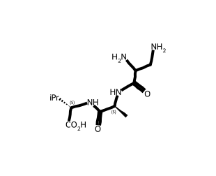 CC(C)[C@H](NC(=O)[C@H](C)NC(=O)C(N)CN)C(=O)O